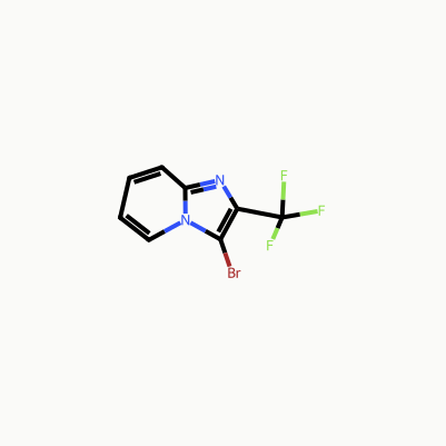 FC(F)(F)c1nc2ccccn2c1Br